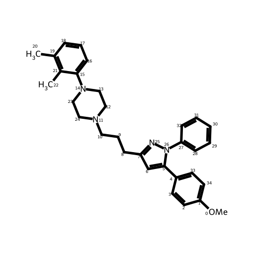 COc1ccc(-c2cc(CCCN3CCN(c4cccc(C)c4C)CC3)nn2-c2ccccc2)cc1